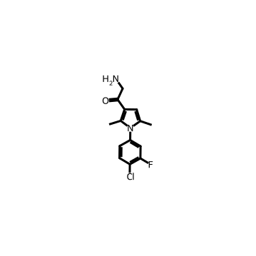 Cc1cc(C(=O)CN)c(C)n1-c1ccc(Cl)c(F)c1